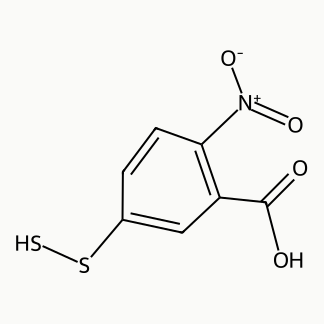 O=C(O)c1cc(SS)ccc1[N+](=O)[O-]